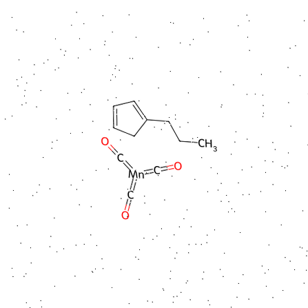 CCCC1=CC=CC1.O=[C]=[Mn](=[C]=O)=[C]=O